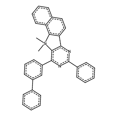 C[Si]1(C)c2c(-c3cccc(-c4ccccc4)c3)nc(-c3ccccc3)nc2-c2ccc3ccccc3c21